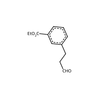 CCOC(=O)c1cccc(CCC=O)c1